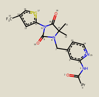 CC(C)C(=O)Nc1cc(CN2C(=O)N(c3cc(C(F)(F)F)cs3)C(=O)C2(C)C)ccn1